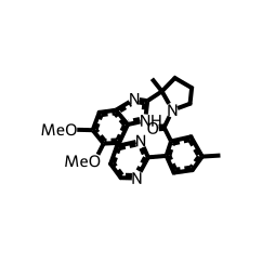 COc1cc2nc(C3(C)CCCN3C(=O)c3cc(C)ccc3-c3ncccn3)[nH]c2cc1OC